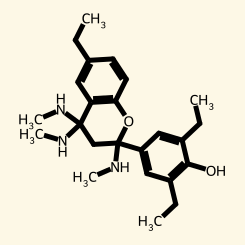 CCc1ccc2c(c1)C(NC)(NC)CC(NC)(c1cc(CC)c(O)c(CC)c1)O2